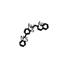 CN1/C(=C/c2ccc3ccccc3[n+]2C)Sc2cc(-c3nc4ccccc4s3)ccc21